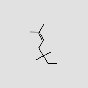 CCC(C)(C)CC=C(C)C